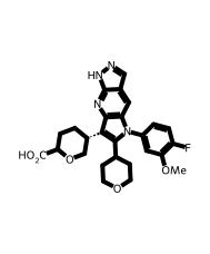 COc1cc(-n2c(C3CCOCC3)c([C@H]3CCC(C(=O)O)OC3)c3nc4[nH]ncc4cc32)ccc1F